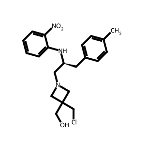 Cc1ccc(C[C@@H](CN2CC(CO)(CCl)C2)Nc2ccccc2[N+](=O)[O-])cc1